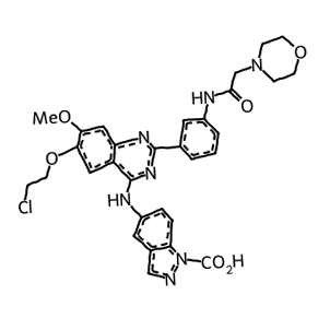 COc1cc2nc(-c3cccc(NC(=O)CN4CCOCC4)c3)nc(Nc3ccc4c(cnn4C(=O)O)c3)c2cc1OCCCl